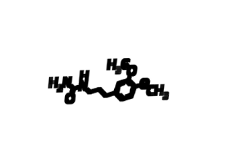 COc1ccc(CCCNC(N)=O)cc1OC